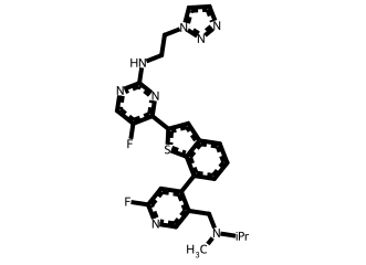 CC(C)N(C)Cc1cnc(F)cc1-c1cccc2cc(-c3nc(NCCn4ccnn4)ncc3F)sc12